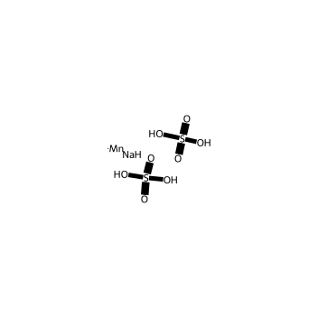 O=S(=O)(O)O.O=S(=O)(O)O.[Mn].[NaH]